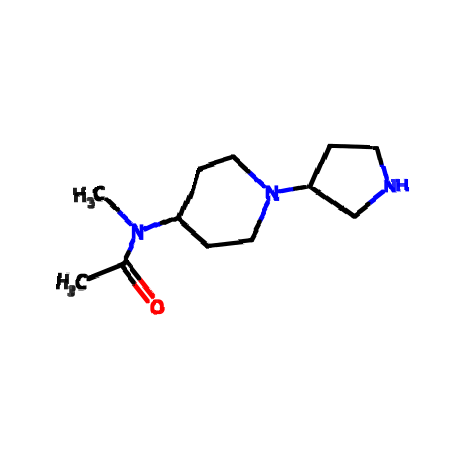 CC(=O)N(C)C1CCN(C2CCNC2)CC1